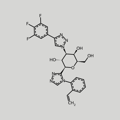 C=Cc1ccccc1-n1cnnc1[C@@H]1O[C@H](CO)[C@H](O)[C@H](n2cc(-c3cc(F)c(F)c(F)c3)nn2)[C@H]1O